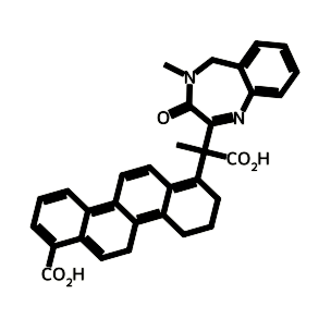 CN1Cc2ccccc2N=C(C(C)(C(=O)O)C2=c3ccc4c(c3CCC2)CC=c2c(C(=O)O)cccc2=4)C1=O